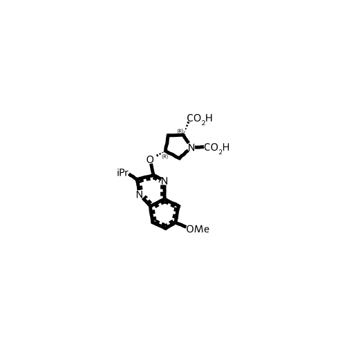 COc1ccc2nc(C(C)C)c(O[C@@H]3C[C@H](C(=O)O)N(C(=O)O)C3)nc2c1